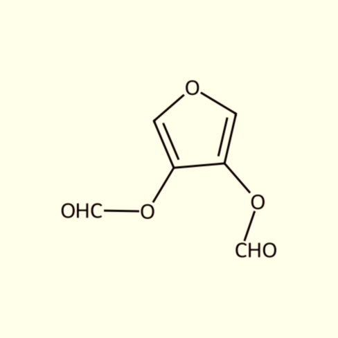 O=COc1cocc1OC=O